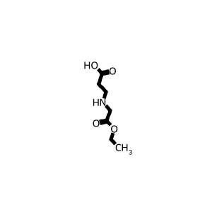 CCOC(=O)CNCCC(=O)O